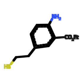 CCOC(=O)c1cc(CCS)ccc1N